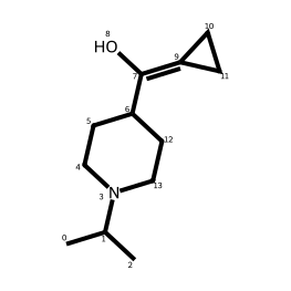 CC(C)N1CCC(C(O)=C2CC2)CC1